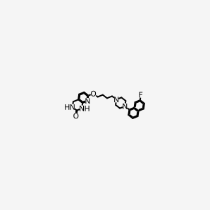 O=C1NCc2ccc(OCCCCN3CCN(c4cccc5ccc(F)cc45)CC3)nc2N1